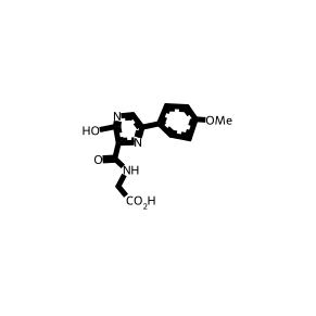 COc1ccc(-c2cnc(O)c(C(=O)NCC(=O)O)n2)cc1